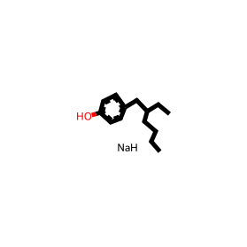 CCCCC(CC)Cc1ccc(O)cc1.[NaH]